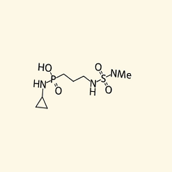 CNS(=O)(=O)NCCCP(=O)(O)NC1CC1